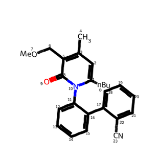 CCCCc1cc(C)c(COC)c(=O)n1-c1ccccc1-c1ccccc1C#N